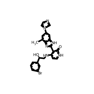 Cc1cc(-n2ccnc2)cc2[nH]c(-c3c(NC[C@H](O)c4cccc(Br)c4)cc[nH]c3=O)nc12